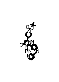 CC(C)(C)OC(=O)N1CCC(c2cc(=O)[nH]c3c4c(Nc5ncccc5C#N)cccc4nn23)CC1